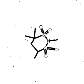 CC1CC(C)(C)S(=O)(=O)N(C)S1(=O)=O